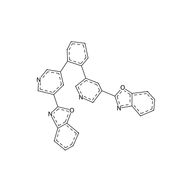 c1ccc(-c2cncc(-c3nc4ccccc4o3)c2)c(-c2cncc(-c3nc4ccccc4o3)c2)c1